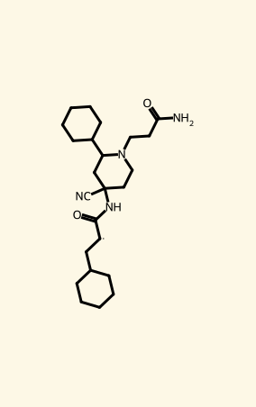 N#CC1(NC(=O)[CH]CC2CCCCC2)CCN(CCC(N)=O)C(C2CCCCC2)C1